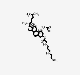 CC(=O)O.CC(C)CCC[C@@H](C)[C@H]1CCC2C3CC=C4CC(OC(=O)CNCCCNCCN)CC[C@]4(C)C3CC[C@@]21C